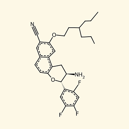 CCCC(CCC)CCOc1cc2c3c(ccc2cc1C#N)O[C@@H](c1cc(F)c(F)cc1F)[C@H](N)C3